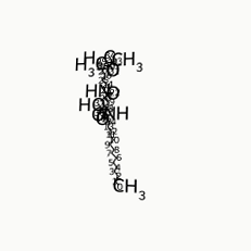 CCCCCCCCCCCCCCCC(=O)NC(CCC(=O)NCCCC[C@H](C)C(=O)C(C)C)C(=O)O